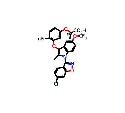 CCCc1ccc(O[C@H](C)C(=O)O)cc1Oc1c(C)n(-c2noc3cc(Cl)ccc23)c2ccc(OC(F)(F)F)cc12